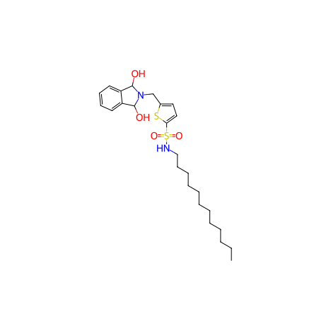 CCCCCCCCCCCCNS(=O)(=O)c1ccc(CN2C(O)c3ccccc3C2O)s1